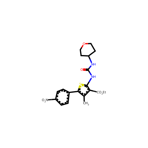 CCOC(=O)c1c(NC(=O)NC2CCOCC2)sc(-c2ccc([N+](=O)[O-])cc2)c1C